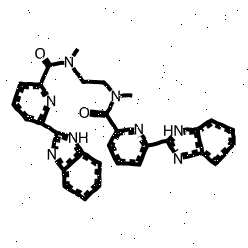 CN(CCN(C)C(=O)c1cccc(-c2nc3ccccc3[nH]2)n1)C(=O)c1cccc(-c2nc3ccccc3[nH]2)n1